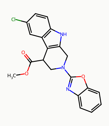 COC(=O)C1CN(c2nc3ccccc3o2)Cc2[nH]c3ccc(Cl)cc3c21